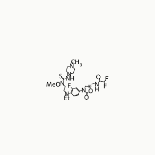 CCN(CCN(OC)C(=S)NN1CCN(C)CC1)c1ccc(N2C[C@H](CNC(=O)C(F)F)OC2=O)cc1F